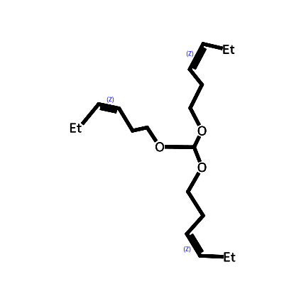 CC/C=C\CCOC(OCC/C=C\CC)OCC/C=C\CC